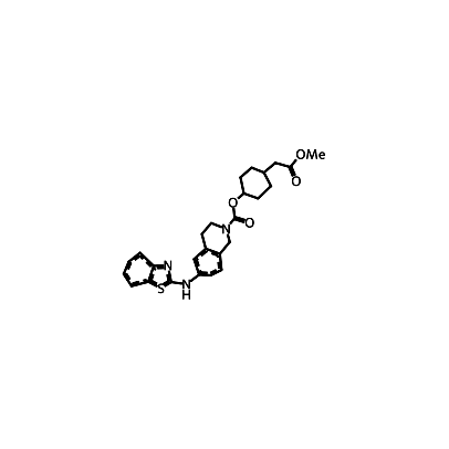 COC(=O)CC1CCC(OC(=O)N2CCc3cc(Nc4nc5ccccc5s4)ccc3C2)CC1